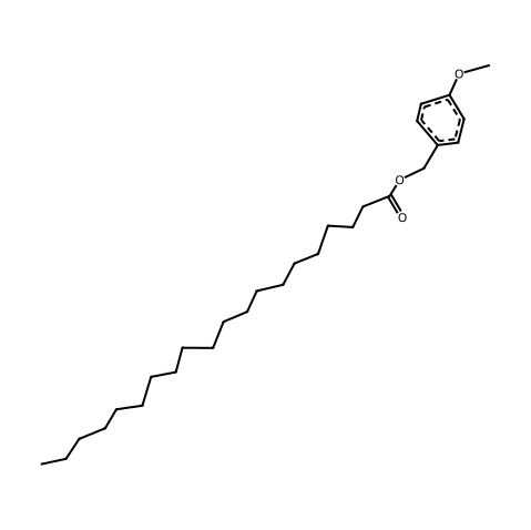 CCCCCCCCCCCCCCCCCCCC(=O)OCc1ccc(OC)cc1